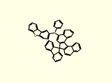 c1ccc(N(c2ccc3oc4ccccc4c3c2)c2cc3c(c4ccccc24)-c2c(ccc4ccccc24)C32c3ccccc3-c3ccccc32)cc1